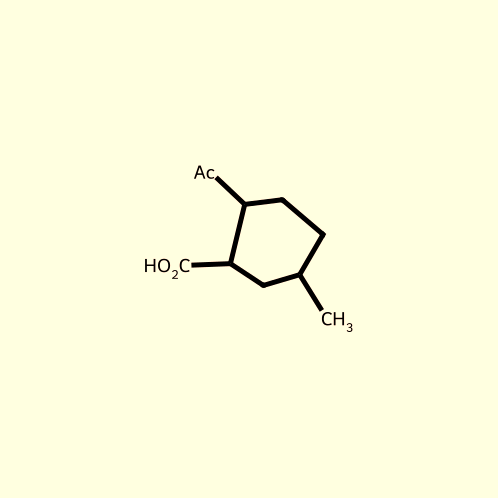 CC(=O)C1CCC(C)CC1C(=O)O